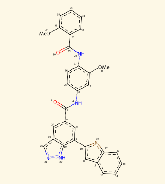 COc1cc(NC(=O)c2cc(-c3cc4ccccc4s3)c3[nH]ncc3c2)ccc1NC(=O)c1ccccc1OC